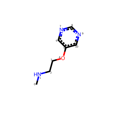 CNCCOc1cncnc1